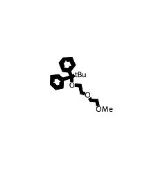 COCCOCCOC(c1ccccc1)(c1ccccc1)C(C)(C)C